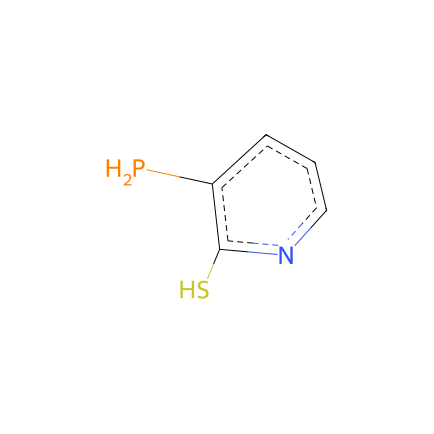 Pc1cccnc1S